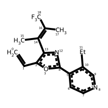 C=Cc1oc(-c2ccncc2CC)nc1/C(C)=C(\C)C(F)(F)F